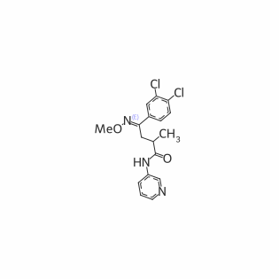 CO/N=C(\CC(C)C(=O)Nc1cccnc1)c1ccc(Cl)c(Cl)c1